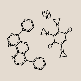 Cl.Cl.O=C1C=C(N2CC2)C(=O)C(N2CC2)=C1N1CC1.c1ccc(-c2ccnc3c2ccc2c(-c4ccccc4)ccnc23)cc1